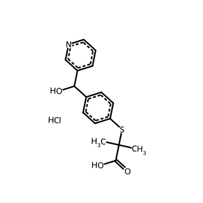 CC(C)(Sc1ccc(C(O)c2cccnc2)cc1)C(=O)O.Cl